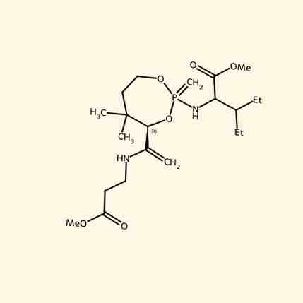 C=C(NCCC(=O)OC)[C@@H]1OP(=C)(NC(C(=O)OC)C(CC)CC)OCCC1(C)C